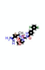 C[C@@H](NC(=O)[C@H]1N(C(=O)CNC(=O)c2ccc(-c3cc(F)ccc3F)cc2)CCC12OCCO2)c1cc(C(=N)N)cs1